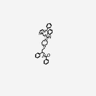 CN(CC(CCN1CCCN(c2nc3ccccc3n2Cc2nccn2Cc2ccccc2)CC1)c1ccccc1)C(=O)c1ccccc1